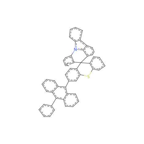 c1ccc(-c2c3ccccc3c(-c3ccc4c(c3)Sc3ccccc3C43c4ccccc4-n4c5ccccc5c5cccc3c54)c3ccccc23)cc1